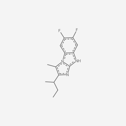 CCC(C)c1nc2[nH]c3cc(F)c(F)cc3n2c1C